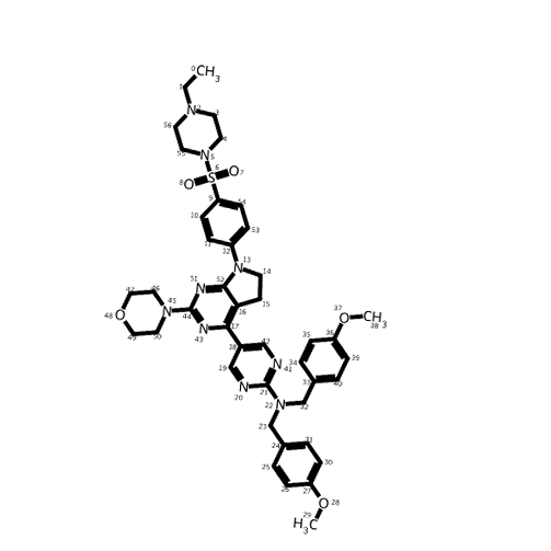 CCN1CCN(S(=O)(=O)c2ccc(N3CCc4c(-c5cnc(N(Cc6ccc(OC)cc6)Cc6ccc(OC)cc6)nc5)nc(N5CCOCC5)nc43)cc2)CC1